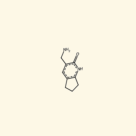 NCc1cc2c([nH]c1=O)CCC2